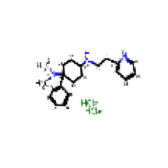 CN(C)C1(c2ccccc2)CCC(NCCc2ccccn2)CC1.Cl.Cl